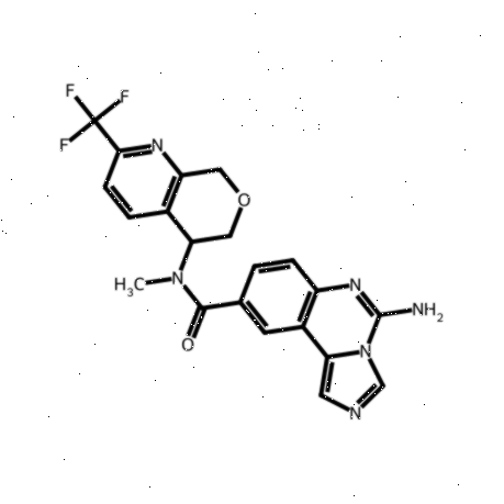 CN(C(=O)c1ccc2nc(N)n3cncc3c2c1)C1COCc2nc(C(F)(F)F)ccc21